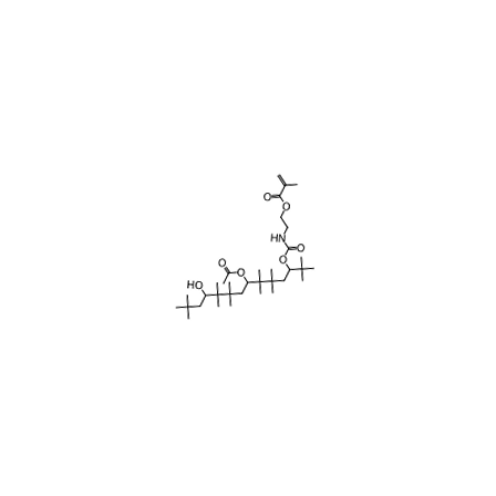 C=C(C)C(=O)OCCNC(=O)OC(CC(C)(C)C(C)(C)C(CC(C)(C)C(C)(C)C(O)CC(C)(C)C)OC(C)=O)C(C)(C)C